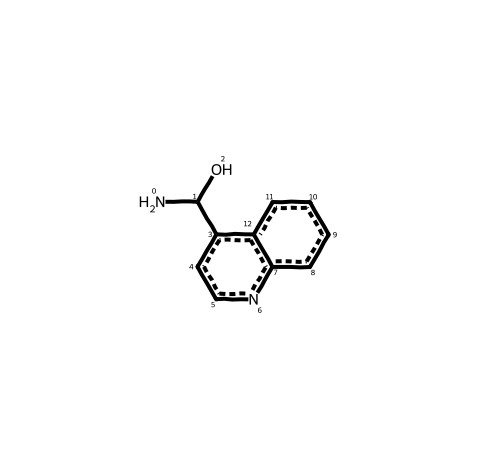 NC(O)c1ccnc2ccccc12